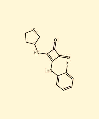 O=c1c(Nc2ccccc2F)c(NC2CCSC2)c1=O